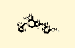 Cc1ccnc(Nc2nc3c(s2)CCN(Cc2nccn2C)c2[nH]ncc2-3)n1